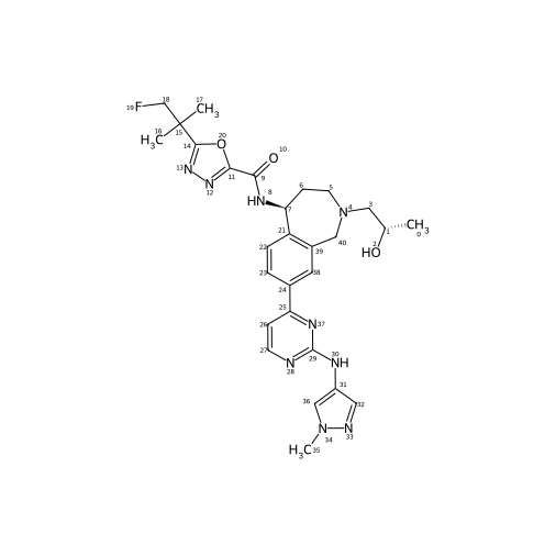 C[C@H](O)CN1CC[C@H](NC(=O)c2nnc(C(C)(C)CF)o2)c2ccc(-c3ccnc(Nc4cnn(C)c4)n3)cc2C1